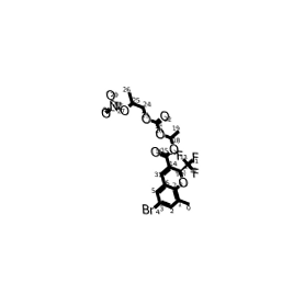 Cc1cc(Br)cc2c1O[C@H](C(F)(F)F)C(C(=O)OC(C)OC(=O)OCC(C)O[N+](=O)[O-])=C2